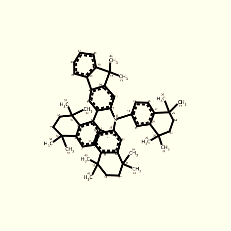 Cc1ccc2c(c1-c1cc3c(cc1N(c1ccc4c(c1)C(C)(C)CCC4(C)C)c1ccc4c(c1)C(C)(C)CCC4(C)C)C(C)(C)c1ccccc1-3)C(C)(C)CCC2(C)C